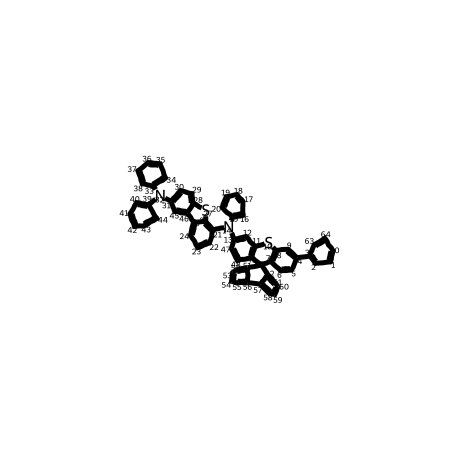 c1ccc(-c2ccc3c(c2)Sc2cc(N(c4ccccc4)c4cccc5c4sc4ccc(N(c6ccccc6)c6ccccc6)cc45)ccc2C32c3ccccc3-c3ccccc32)cc1